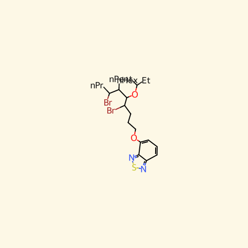 CCCCCCC(C(Br)CCC)C(OC(CC)CCCCC)C(Br)CCCOc1cccc2nsnc12